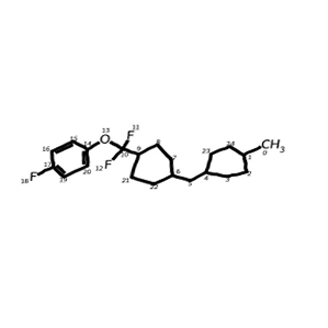 CC1CCC(CC2CCC(C(F)(F)Oc3ccc(F)cc3)CC2)CC1